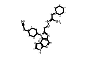 N#CCC1CCC(n2c(CO/N=C(\N)CN3CCCCC3)nc3cnc4[nH]ccc4c32)CC1